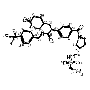 C=CS(=O)(=O)NC[C@H]1CCN(C(=O)c2ccc(C(CC3CCC(=O)NC3)C(=O)NCc3ccc(C(F)(F)F)cc3)cc2)C1